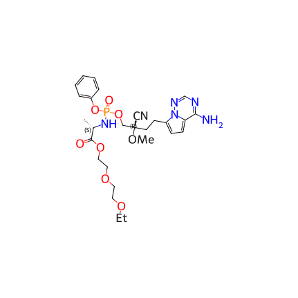 CCOCCOCCOC(=O)[C@H](C)NP(=O)(OC[C@](C#N)(CCc1ccc2c(N)ncnn12)OC)Oc1ccccc1